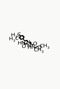 COCC(C)NC(=O)c1cn2cc(-c3ccc(C)c(C)c3)[nH]c(=O)c2n1